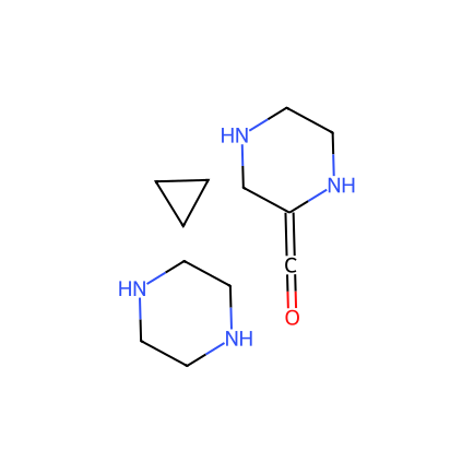 C1CC1.C1CNCCN1.O=C=C1CNCCN1